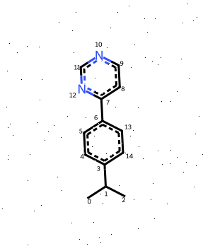 CC(C)c1ccc(-c2ccncn2)cc1